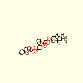 C=C(CC(CC)CC)OC(=O)CC(=O)OC1(CC)CCC=C(OC(=O)CC(=O)OC2(C)CC=CCC2)C1